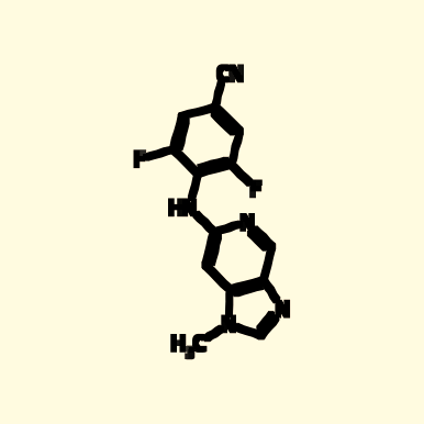 Cn1cnc2cnc(Nc3c(F)cc(C#N)cc3F)cc21